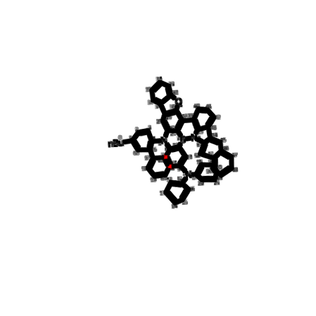 CCCCc1ccc(N2c3ccc(N(c4ccccc4)c4ccccc4)cc3B3c4c2cc2c(oc5ccccc52)c4-c2cccc4c5cc6ccccc6cc5n3c24)c(-c2ccccc2)c1